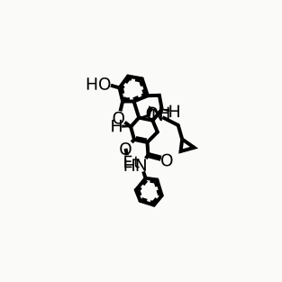 CCOC1=C(C(=O)Nc2ccccc2)C[C@@]2(O)[C@H]3Cc4ccc(O)c5c4[C@@]2(CCN3CC2CC2)[C@H]1O5